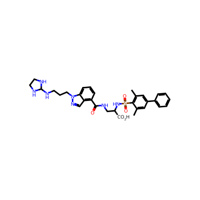 Cc1cc(-c2ccccc2)cc(C)c1S(=O)(=O)NC(CNC(=O)c1cccc2c1cnn2CCCNC1NCCN1)C(=O)O